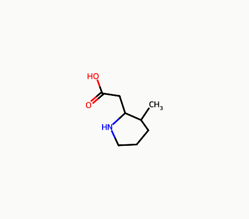 CC1CCCNC1CC(=O)O